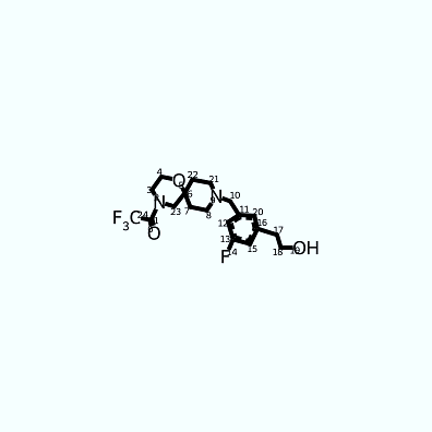 O=C(N1CCOC2(CCN(Cc3cc(F)cc(CCO)c3)CC2)C1)C(F)(F)F